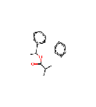 CC(C)C(=O)OC(C)c1ccccc1.[c]1ccccc1